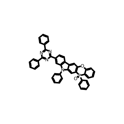 O=P1(c2ccccc2)c2ccccc2Oc2cc3c4ccc(-c5nc(-c6ccccc6)nc(-c6ccccc6)n5)cc4n(-c4ccccc4)c3cc21